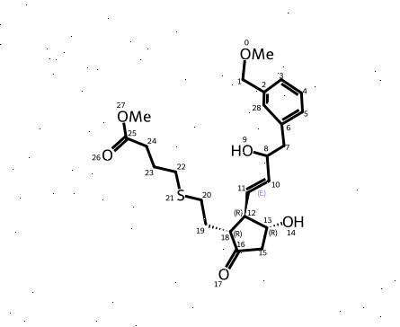 COCc1cccc(CC(O)/C=C/[C@H]2[C@H](O)CC(=O)[C@@H]2CCSCCCC(=O)OC)c1